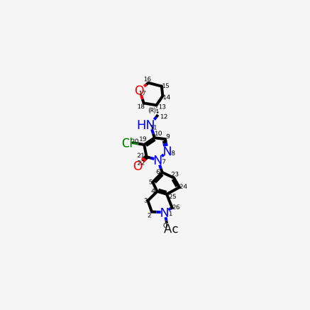 CC(=O)N1CCc2cc(-n3ncc(NC[C@H]4CCCOC4)c(Cl)c3=O)ccc2C1